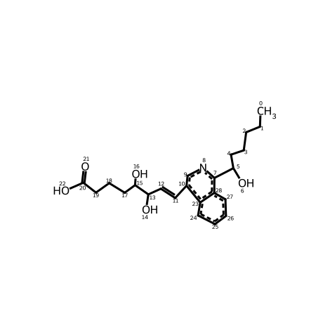 CCCCCC(O)c1ncc(C=CC(O)C(O)CCCC(=O)O)c2ccccc12